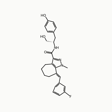 Cn1nc(C(=O)N[C@H](CO)Cc2ccc(O)cc2)c2c1/C(=C/c1cccc(F)c1)CCCC2